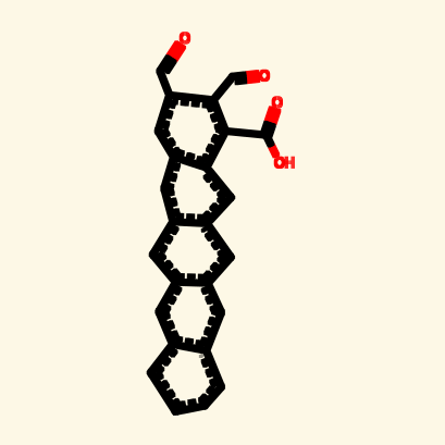 O=Cc1cc2cc3cc4cc5ccccc5cc4cc3cc2c(C(=O)O)c1C=O